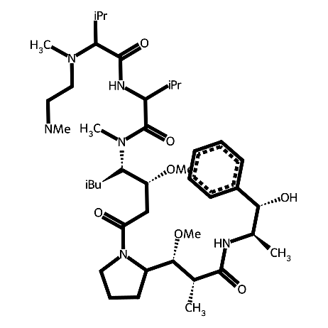 CC[C@H](C)[C@@H]([C@@H](CC(=O)N1CCCC1[C@H](OC)[C@@H](C)C(=O)N[C@H](C)[C@@H](O)c1ccccc1)OC)N(C)C(=O)C(NC(=O)C(C(C)C)N(C)CCNC)C(C)C